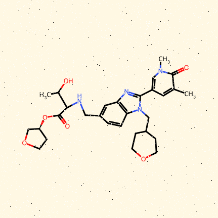 Cc1cc(-c2nc3cc(CNC(C(=O)O[C@H]4CCOC4)C(C)O)ccc3n2CC2CCOCC2)cn(C)c1=O